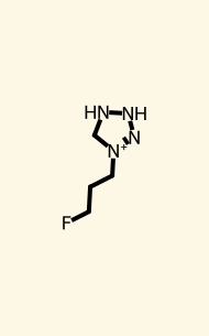 FCCC[N+]1=NNNC1